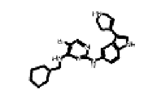 Brc1cnc(Nc2ccc3[nH]cc(C4=CCNCC4)c3c2)nc1NCC1CCCCC1